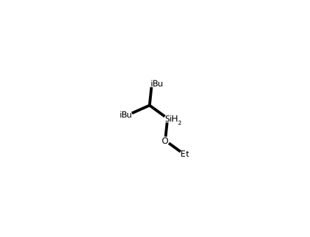 CCO[SiH2]C(C(C)CC)C(C)CC